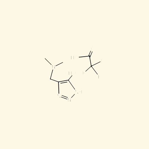 CN(C)Cc1nn[nH]c1C=O.O=C(O)C(F)(F)F